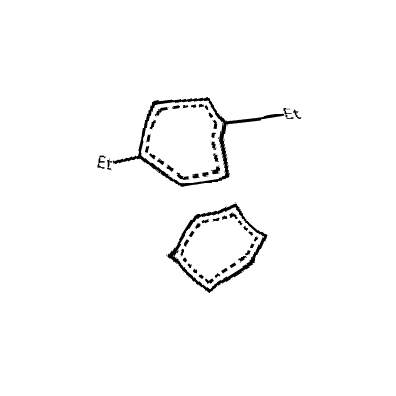 CCc1ccc(CC)cc1.c1ccccc1